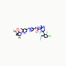 Cc1cc(Cn2cc(NC(=O)c3nc(-c4c(C(F)F)ccc(Cl)c4F)cnc3C)cn2)cnc1N1C[C@H]2C[C@H]2C1=O